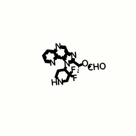 C[C@@H](OC=O)c1nc2cnc3cccnc3c2n1C1CCNCC1(F)F